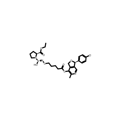 CCOC(=O)[C@@H]1CCCN1/[N+](O)=N/OCCCCC(=O)Oc1c(C)ncc2c1CO[C@H]2c1ccc(Cl)cc1